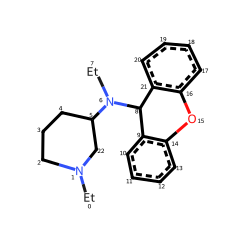 CCN1CCCC(N(CC)C2c3ccccc3Oc3ccccc32)C1